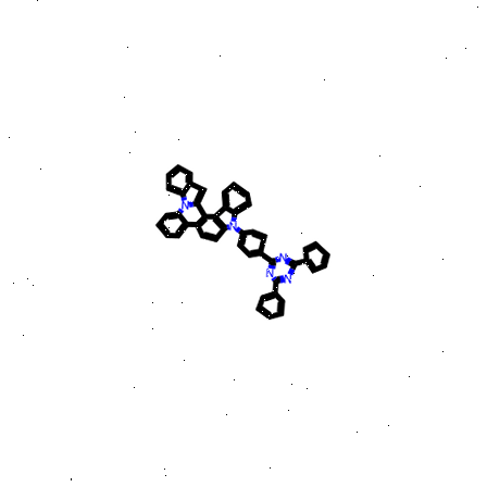 c1ccc(-c2nc(-c3ccccc3)nc(-c3ccc(-n4c5ccccc5c5c6c(ccc54)c4ccccc4n4c5ccccc5cc64)cc3)n2)cc1